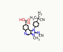 Cn1c(=NC#N)n(-c2ccc(C(C)(C)C#N)cc2)c2c3cc(B(O)O)ccc3ncc21